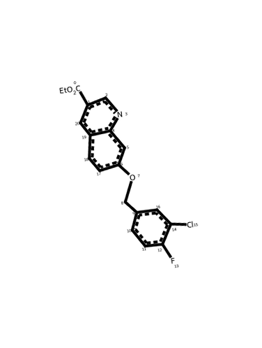 CCOC(=O)c1cnc2cc(OCc3ccc(F)c(Cl)c3)ccc2c1